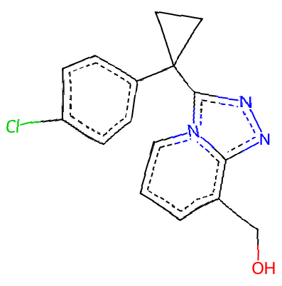 OCc1cccn2c(C3(c4ccc(Cl)cc4)CC3)nnc12